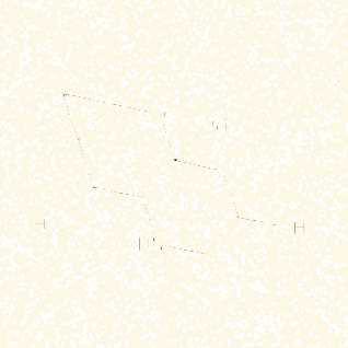 CC1CNC2C(C)C3CC3OC2(O)C1